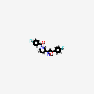 O=C(c1ccc(F)cc1)N1CCCC(c2cc(-c3ccc(F)cc3)on2)C1